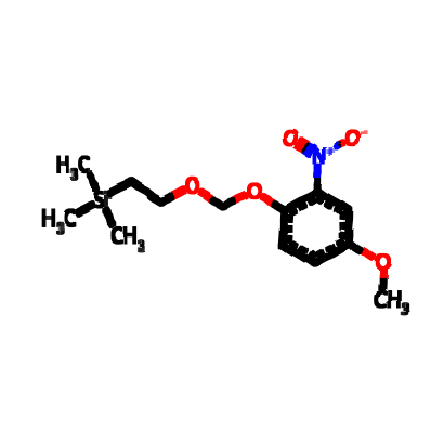 COc1ccc(OCOCC[Si](C)(C)C)c([N+](=O)[O-])c1